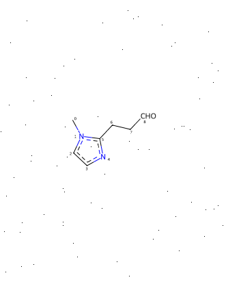 Cn1ccnc1CCC=O